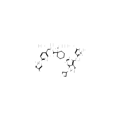 CO[C@]1(C(=O)N[C@@H](C)c2ccc(-n3cc(F)cn3)nc2)CC[C@@H](c2nc(Nc3cc(C)[nH]n3)c3cnn(C4COC4)c3n2)CC1